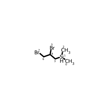 C[SiH](C)CC(Br)CBr